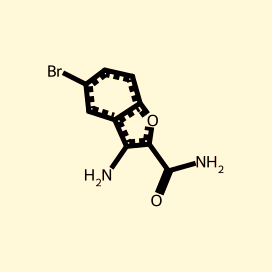 NC(=O)c1oc2ccc(Br)cc2c1N